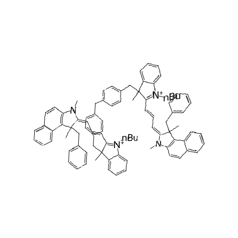 CCCC[N+]1=C(/C=C/C=C2/N(C)c3ccc4ccccc4c3C2(C)Cc2ccccc2)C(C)(Cc2ccc(Cc3ccc(CC4(C)C(/C=C/C=C5/N(C)c6ccc7ccccc7c6C5(C)Cc5ccccc5)=[N+](CCCC)c5ccccc54)cc3)cc2)c2ccccc21